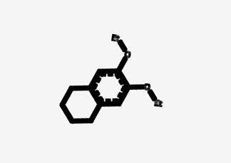 CCOc1cc2c(cc1OCC)CCCC2